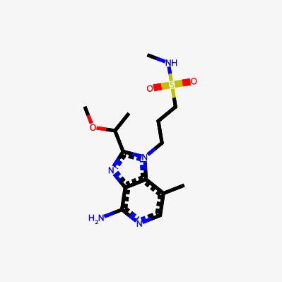 CNS(=O)(=O)CCCn1c(C(C)OC)nc2c(N)ncc(C)c21